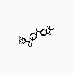 Cc1nc2cc(C(C)N3CCN(C(=O)c4cnn(C)c4)CC3)ccc2s1